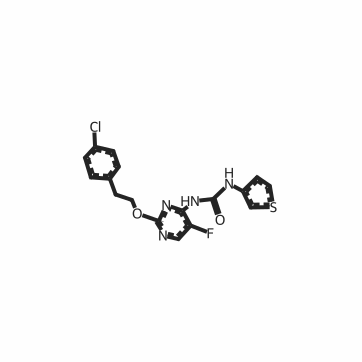 O=C(Nc1ccsc1)Nc1nc(OCCc2ccc(Cl)cc2)ncc1F